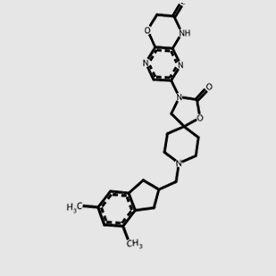 Cc1cc(C)c2c(c1)CC(CN1CCC3(CC1)CN(c1cnc4c(n1)NC(=O)CO4)C(=O)O3)C2